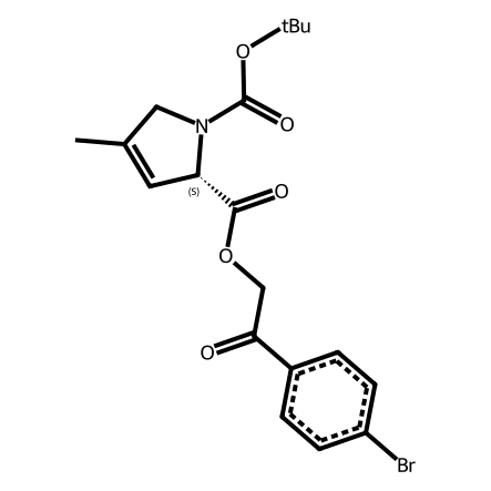 CC1=C[C@@H](C(=O)OCC(=O)c2ccc(Br)cc2)N(C(=O)OC(C)(C)C)C1